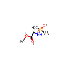 CC(C)OC(=O)CNP(C)(C)=O